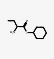 CCC(N)C(=O)OC1CCCCC1